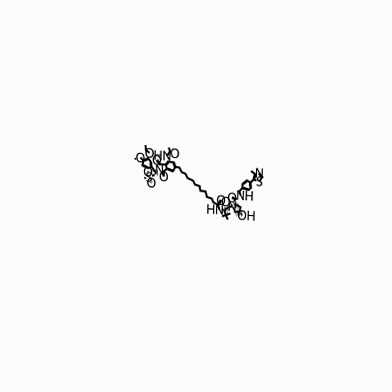 CCOc1cc([C@@H](CS(C)(=O)=O)N2C(=O)c3cc(CCCCCCCCCCCCC(=O)N[C@H](C(=O)N4C[C@H](O)C[C@H]4C(=O)NCc4ccc(-c5scnc5C)cc4)C(C)(C)C)cc(NC(C)=O)c3C2=O)ccc1OC